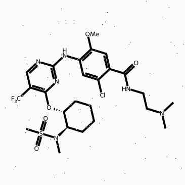 COc1cc(C(=O)NCCN(C)C)c(Cl)cc1Nc1ncc(C(F)(F)F)c(O[C@@H]2CCCC[C@H]2N(C)S(C)(=O)=O)n1